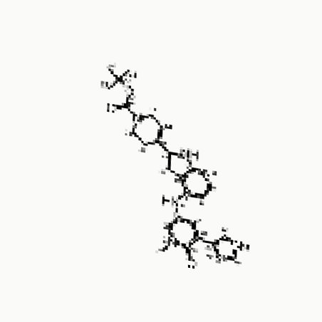 Cn1cc(Nc2ccnc3c2CC(C2=CCN(C(=O)OC(C)(C)C)CC2)N3)cc(-c2cncs2)c1=O